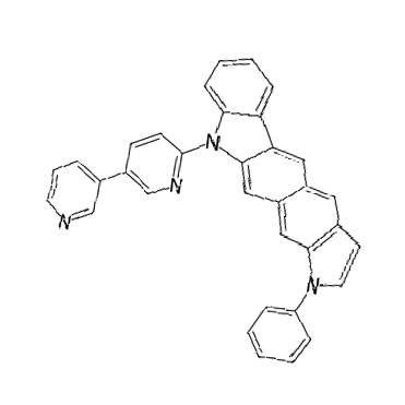 c1ccc(-n2ccc3cc4cc5c6ccccc6n(-c6ccc(-c7cccnc7)cn6)c5cc4cc32)cc1